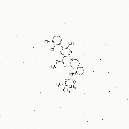 COC(=O)c1nc(-c2cccc(Cl)c2Cl)c(C)nc1N1CCC2(CCC[C@H]2NC(=O)OC(C)(C)C)CC1